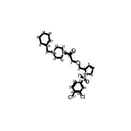 O=C(COCC1CCCN1S(=O)(=O)c1ccc(Cl)c(Cl)c1)N1CCN(CC2CCCCC2)CC1